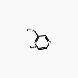 O=C(O)c1cnccn1.[NaH]